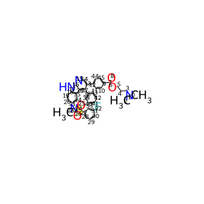 CN(C)CCCOC(=O)c1ccc(-c2cnc3[nH]c4ccc(N(C)S(=O)(=O)c5cccc(F)c5)cc4c3c2-c2ccccc2)cc1